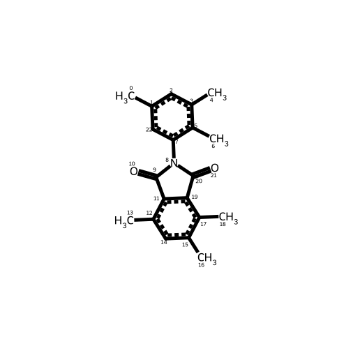 Cc1cc(C)c(C)c(N2C(=O)c3c(C)cc(C)c(C)c3C2=O)c1